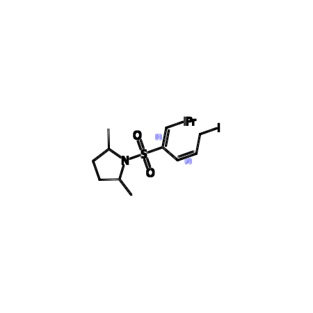 CC(C)/C=C(\C=C/CI)S(=O)(=O)N1C(C)CCC1C